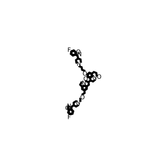 O=C1C(C2CCN3C(=O)CCc4cc(OCCCCN5CCC(c6noc7cc(F)ccc67)CC5)cc2c43)Cc2cc(CCOCCN3CCC(c4noc5cc(F)ccc45)CC3)cc3c2N1CC3